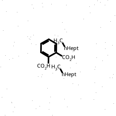 CCCCCCCC.CCCCCCCC.O=C(O)c1ccccc1C(=O)O